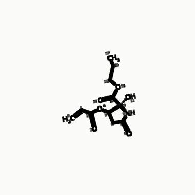 C=CC(=O)OC1CC(=O)N[C@]1(O)C(=O)OCCC